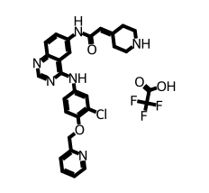 O=C(C=C1CCNCC1)Nc1ccc2ncnc(Nc3ccc(OCc4ccccn4)c(Cl)c3)c2c1.O=C(O)C(F)(F)F